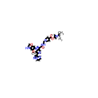 COc1cc2c(cc1-n1nc(C(=O)NCCN3CCC(C(=O)OC4CN(C(C)C)C4)CC3)c3cnc(-c4cnn5cccnc45)cc31)OCCN2